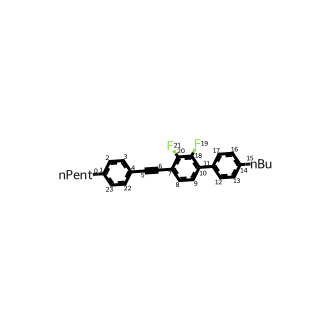 CCCCCc1ccc(C#Cc2ccc(-c3ccc(CCCC)cc3)c(F)c2F)cc1